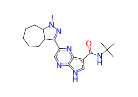 CN1N=C(c2cnc3[nH]cc(C(=O)NC(C)(C)C)c3n2)C2CCCCCC21